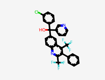 OC(c1cccnc1)(c1cccc(Cl)c1)c1ccc2nc(C(F)(F)F)c(-c3ccccc3)c(C(F)(F)F)c2c1